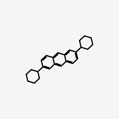 c1cc2cc3cc(C4CCCCC4)ccc3cc2cc1C1CCCCC1